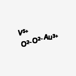 [Au+3].[O-2].[O-2].[V+5]